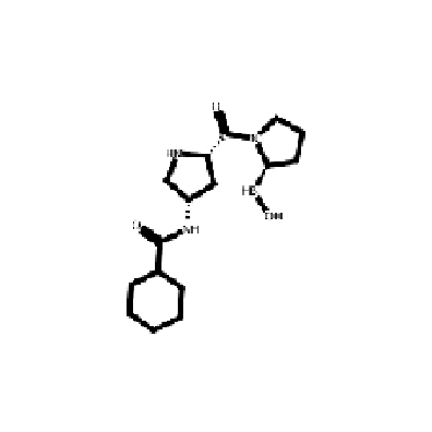 O=C(N[C@@H]1CN[C@H](C(=O)N2CCC[C@H]2BO)C1)C1CCCCC1